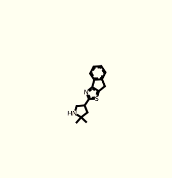 CC1(C)CC(c2nc3c(s2)Cc2ccccc2-3)CN1